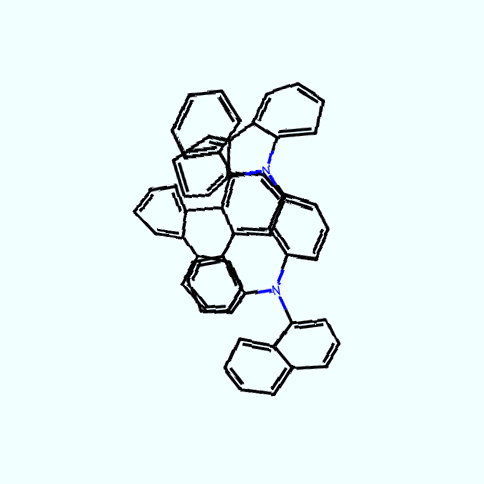 c1ccc(-c2ccccc2-c2c(-c3ccccc3)cccc2-c2ccccc2N(c2cccc(-n3c4ccccc4c4ccccc43)c2)c2cccc3ccccc23)cc1